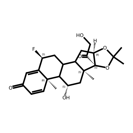 CC1(C)O[C@@H]2CC3C4C[C@H](F)C5=CC(=O)C=C[C@]5(C)C4[C@@H](O)C[C@]3(C)[C@]2(C(=O)CO)O1